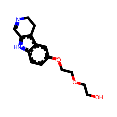 OCCOCCOc1ccc2[nH]c3c(c2c1)CCN=C3